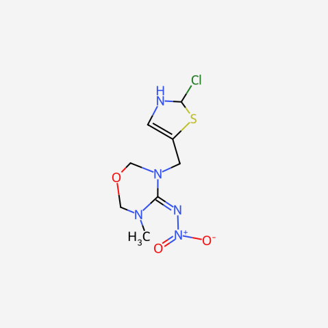 CN1COCN(CC2=CNC(Cl)S2)/C1=N/[N+](=O)[O-]